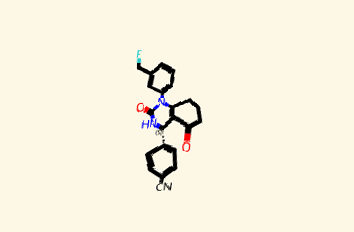 N#Cc1ccc([C@@H]2NC(=O)N(c3cccc(CF)c3)C3=C2C(=O)CCC3)cc1